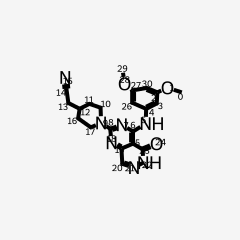 COc1cc(Nc2nc(N3CCC(CC#N)CC3)nc3cn[nH]c(=O)c23)cc(OC)c1